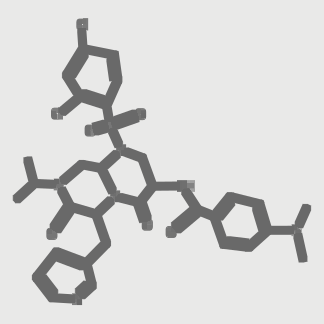 CC(C)N1CC2N(C(=O)C(NC(=O)c3ccc(N(C)C)cc3)CN2S(=O)(=O)c2ccc(Cl)cc2Cl)C(Cc2cccnc2)C1=O